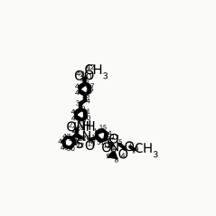 CCOC(=O)CN(C1CC1)S(=O)(=O)c1cccc(C(=O)Nc2sc3c(c2C(=O)Nc2ccc(CCc4ccc(C(=O)OC)cc4)cc2)CCCC3)c1